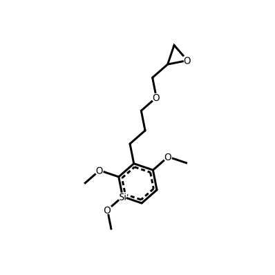 COc1cc[si](OC)c(OC)c1CCCOCC1CO1